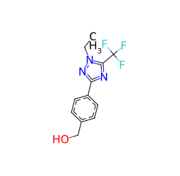 CCn1nc(-c2ccc(CO)cc2)nc1C(F)(F)F